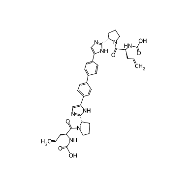 C=CC[C@H](NC(=O)O)C(=O)N1CCC[C@H]1c1ncc(-c2ccc(-c3ccc(-c4cnc([C@@H]5CCCN5C(=O)[C@H](CC=C)NC(=O)O)[nH]4)cc3)cc2)[nH]1